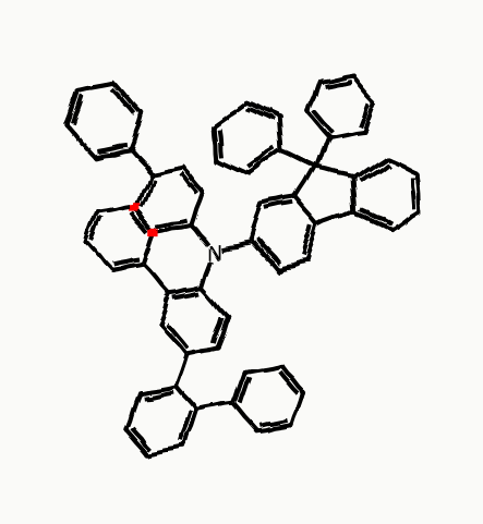 c1ccc(-c2ccc(N(c3ccc4c(c3)C(c3ccccc3)(c3ccccc3)c3ccccc3-4)c3ccc(-c4ccccc4-c4ccccc4)cc3-c3ccccc3)cc2)cc1